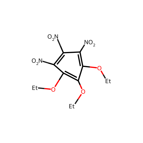 CCOc1c(OCC)c([N+](=O)[O-])c([N+](=O)[O-])c([N+](=O)[O-])c1OCC